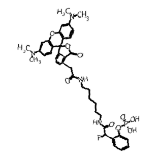 CN(C)c1ccc2c(c1)Oc1cc(N(C)C)ccc1C21OC(=O)c2c(CC(=O)NCCCCCCNC(=O)C(F)c3ccccc3OP(=O)(O)O)cccc21